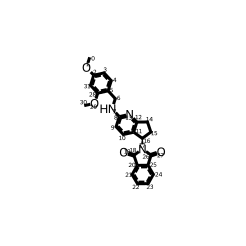 COc1ccc(CNc2ccc3c(n2)CC[C@H]3N2C(=O)c3ccccc3C2=O)c(OC)c1